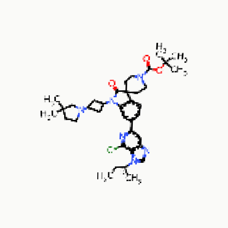 CC[C@H](C)n1cnc2cc(-c3ccc4c(c3)N(C3CC(N5CCC(C)(C)C5)C3)C(=O)C43CCN(C(=O)OC(C)(C)C)CC3)nc(Cl)c21